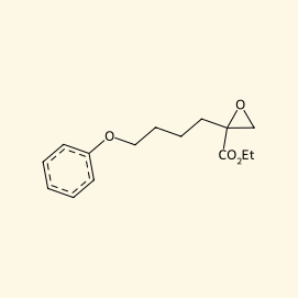 CCOC(=O)C1(CCCCOc2ccccc2)CO1